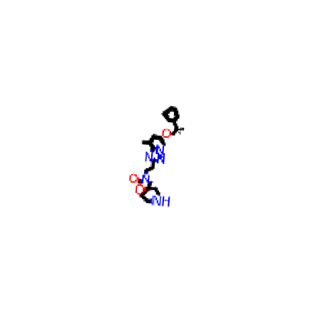 Cc1cc(OC[C@H](C)c2ccccc2)cn2nc(CCN3CC4(CCNCC4)OC3=O)nc12